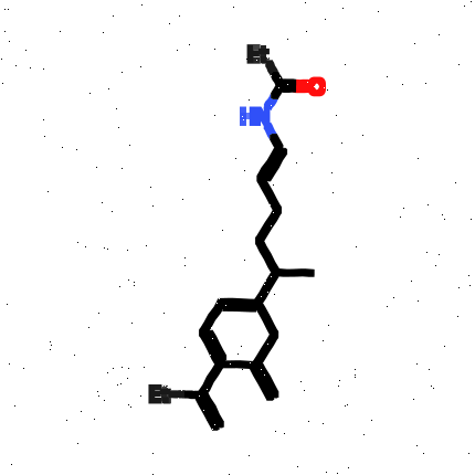 C=C(CC)C1=CC=C(C(C)CC/C=C/NC(=O)CC)CC1=C